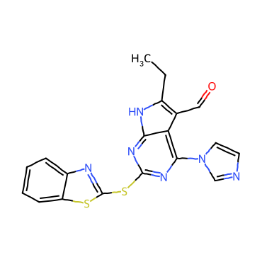 CCc1[nH]c2nc(Sc3nc4ccccc4s3)nc(-n3ccnc3)c2c1C=O